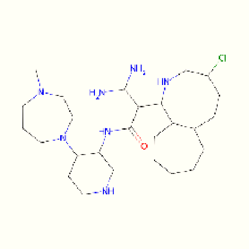 CN1CCCN(C2CCNCC2NC(=O)C(C(N)N)C2NCC(Cl)CCC3CCCCCC32)CC1